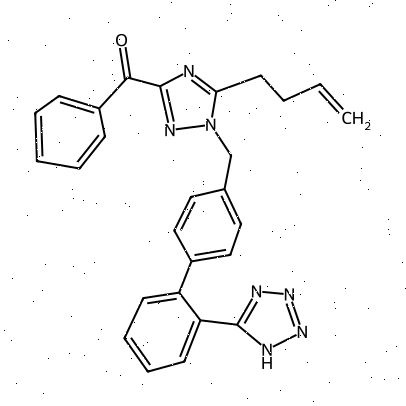 C=CCCc1nc(C(=O)c2ccccc2)nn1Cc1ccc(-c2ccccc2-c2nnn[nH]2)cc1